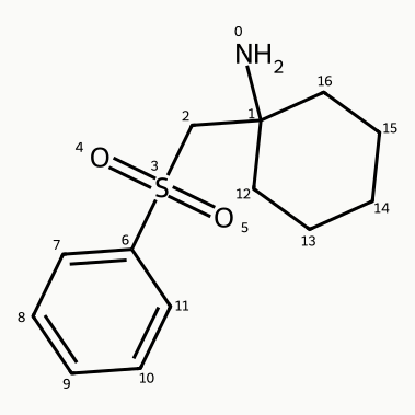 NC1(CS(=O)(=O)c2ccccc2)CCCCC1